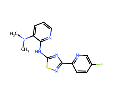 CN(C)c1cccnc1Nc1nc(-c2ccc(F)cn2)ns1